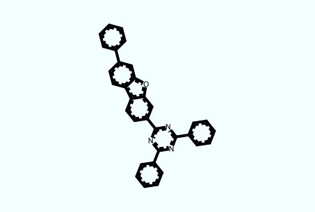 c1ccc(-c2ccc3c(c2)oc2cc(-c4nc(-c5ccccc5)nc(-c5ccccc5)n4)ccc23)cc1